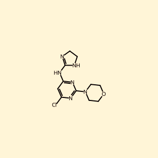 Clc1cc(NC2=NCCN2)nc(N2CCOCC2)n1